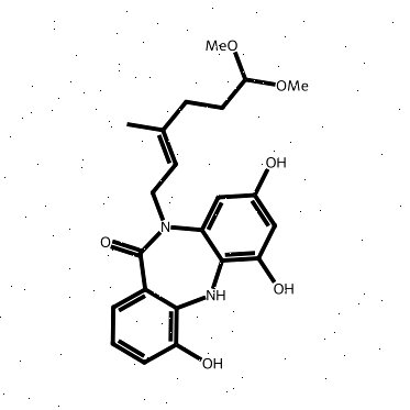 COC(CC/C(C)=C/CN1C(=O)c2cccc(O)c2Nc2c(O)cc(O)cc21)OC